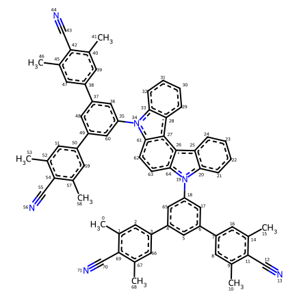 Cc1cc(-c2cc(-c3cc(C)c(C#N)c(C)c3)cc(-n3c4ccccc4c4c5c6ccccc6n(-c6cc(-c7cc(C)c(C#N)c(C)c7)cc(-c7cc(C)c(C#N)c(C)c7)c6)c5ccc43)c2)cc(C)c1C#N